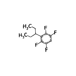 CCC(CC)c1c(F)c(F)cc(F)c1F